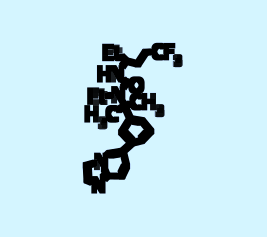 CCC(CCC(F)(F)F)NC(=O)N(CC)C(C)(C)c1cccc(-c2ccc3nccn3c2)c1